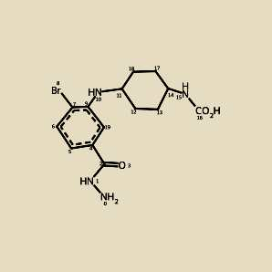 NNC(=O)c1ccc(Br)c(NC2CCC(NC(=O)O)CC2)c1